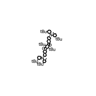 Cc1ccc(C(C)(C)C)cc1N(c1cccc(C(C)(C)C)c1)c1ccc2cc3c(cc2c1)oc1c(C(C)(C)C)c2c(oc4cc5cc(N(c6cccc(C(C)(C)C)c6)c6cc(C(C)(C)C)ccc6C)ccc5cc42)c(C(C)(C)C)c13